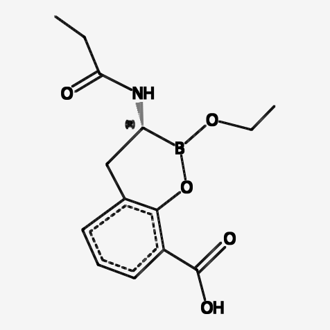 CCOB1Oc2c(cccc2C(=O)O)C[C@@H]1NC(=O)CC